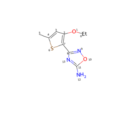 CCOc1cc(C)sc1-c1noc(N)n1